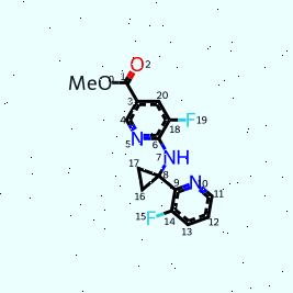 COC(=O)c1cnc(NC2(c3ncccc3F)CC2)c(F)c1